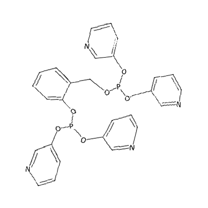 c1cncc(OP(OCc2ccccc2OP(Oc2cccnc2)Oc2cccnc2)Oc2cccnc2)c1